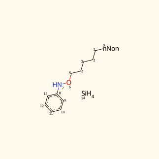 CCCCCCCCCCCCCCONc1ccccc1.[SiH4]